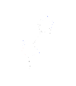 FC(F)(F)c1nc(-c2cn[nH]c2)no1